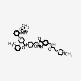 C=CS(=O)(=O)Nc1ccccc1N1CCC(C(=O)N2CCC(O)(Cn3cnc4cc(NC(=O)CCN5CCN(C)CC5)ccc4c3=O)CC2)[C@H](C2C=CC=CC2C)C1